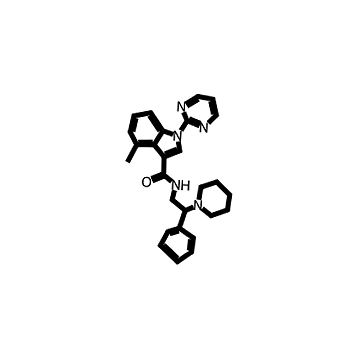 Cc1cccc2c1c(C(=O)NCC(c1ccccc1)N1CCCCC1)cn2-c1ncccn1